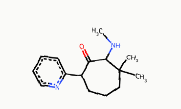 CNC1C(=O)C(c2ccccn2)CCCC1(C)C